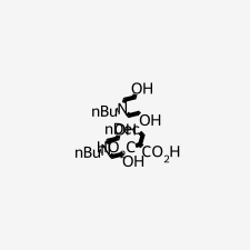 CCCCCCCCCCCC(C(=O)O)C(=O)O.CCCCN(CCO)CCO.CCCCN(CCO)CCO